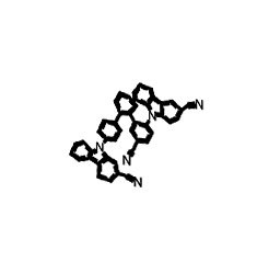 N#Cc1ccc(-n2c3ccccc3c3cc(C#N)ccc32)c(-c2ccccc2-c2ccc(-n3c4ccccc4c4ccc(C#N)cc43)cc2)c1